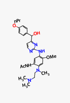 CCCOc1ccc(C(O)c2ccnc(Nc3cc(NC(C)=O)c(N(C)CCN(C)C)cc3OC)n2)cc1